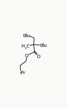 CC(C)CCOC(=O)C(C)(CC(C)(C)C)C(C)(C)C